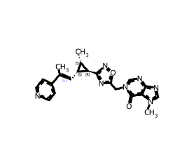 C/C(=C\[C@@H]1[C@H](C)[C@H]1c1noc(Cn2cnc3ncn(C)c3c2=O)n1)c1ccncc1